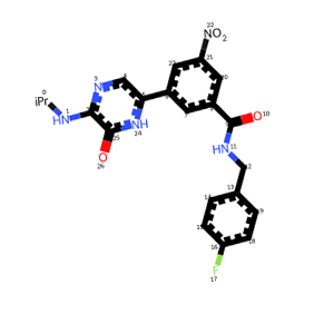 CC(C)Nc1ncc(-c2cc(C(=O)NCc3ccc(F)cc3)cc([N+](=O)[O-])c2)[nH]c1=O